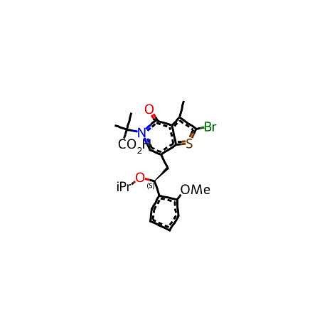 COc1ccccc1[C@H](Cc1cn(C(C)(C)C(=O)O)c(=O)c2c(C)c(Br)sc12)OC(C)C